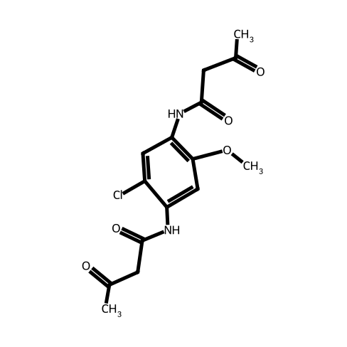 COc1cc(NC(=O)CC(C)=O)c(Cl)cc1NC(=O)CC(C)=O